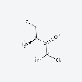 CC[C@H](N)C(=O)C(Cl)Cl